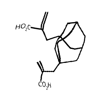 C=C(CC12CC3CC(C1)CC(CC(=C)C(=O)O)(C3)C2)C(=O)O